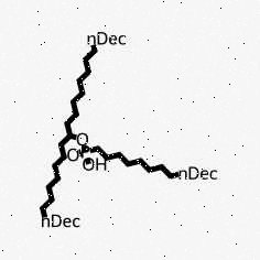 CCCCCCCCCCCCCCCCCCC(CCCCCCCCCCCCCCCCC)OP(=O)(O)CCCCCCCCCCCCCCCCCC